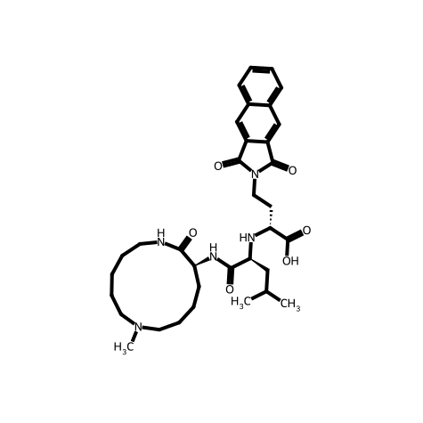 CC(C)C[C@H](N[C@H](CCN1C(=O)c2cc3ccccc3cc2C1=O)C(=O)O)C(=O)N[C@H]1CCCCN(C)CCCCCNC1=O